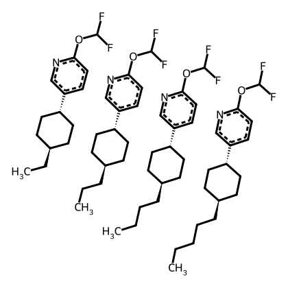 CCCCC[C@H]1CC[C@H](c2ccc(OC(F)F)nc2)CC1.CCCC[C@H]1CC[C@H](c2ccc(OC(F)F)nc2)CC1.CCC[C@H]1CC[C@H](c2ccc(OC(F)F)nc2)CC1.CC[C@H]1CC[C@H](c2ccc(OC(F)F)nc2)CC1